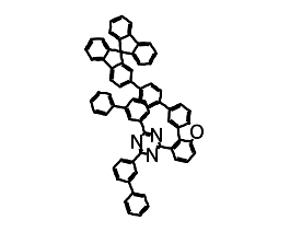 c1ccc(-c2cccc(-c3nc(-c4cccc(-c5ccccc5)c4)nc(-c4cccc5oc6ccc(-c7ccc(-c8ccc9c(c8)C8(c%10ccccc%10-c%10ccccc%108)c8ccccc8-9)cc7)cc6c45)n3)c2)cc1